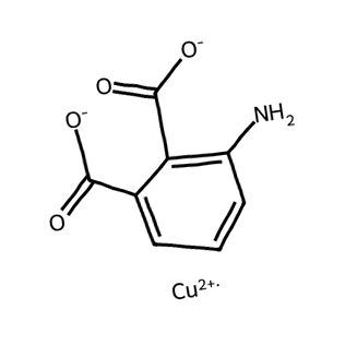 Nc1cccc(C(=O)[O-])c1C(=O)[O-].[Cu+2]